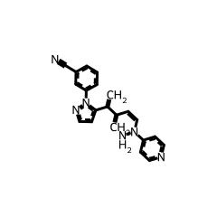 C=C(/C=C\N(N)c1ccncc1)C(=C)c1ccnn1-c1cccc(C#N)c1